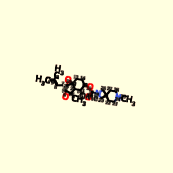 CO[C@H]1C([C@@]2(C)O[C@@H]2CC=C(C)C)[C@]2(CC[C@H]1OC(=O)N1CC3(CCN(C)CC3)C1)CO2